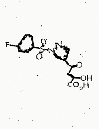 O=C(O)C(O)=CC(=O)c1cnn(S(=O)(=O)c2ccc(F)cc2)c1